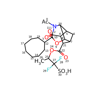 CC(=O)N1C(=O)C2C3CC(C(OC(=O)C4CCCCCCC4)C31)C2C(=O)OC(C)C(F)(F)S(=O)(=O)O